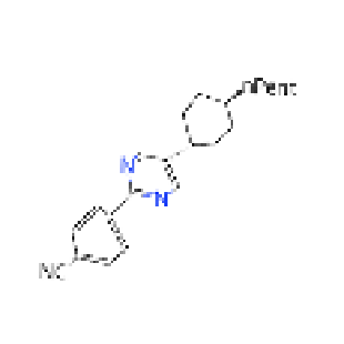 CCCCC[C@H]1CC[C@H](c2cnc(-c3ccc(C#N)cc3)nc2)CC1